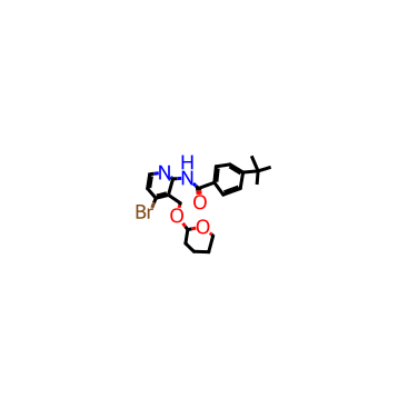 CC(C)(C)c1ccc(C(=O)Nc2nccc(Br)c2COC2CCCCO2)cc1